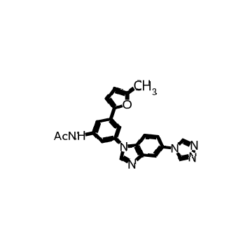 CC(=O)Nc1cc(-c2ccc(C)o2)cc(-n2cnc3cc(-n4cnnc4)ccc32)c1